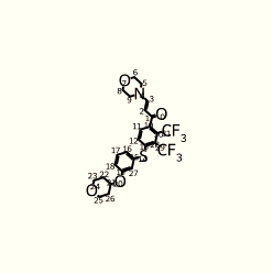 O=C(C=CN1CCOCC1)c1ccc(Sc2cccc(OC3CCOCC3)c2)c(C(F)(F)F)c1C(F)(F)F